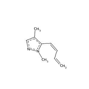 C=C/C=C\c1c(C)cnn1C